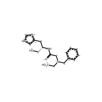 O=C(O)CN(CC(=O)N[C@H](CO)Cc1c[nH]cn1)Cc1ccccc1